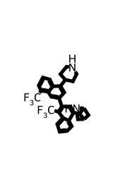 FC(F)(F)c1cccc2c(C3CCNCC3)cc(-c3cc(C4C5CNC4C5)c4ccccc4c3C(F)(F)F)cc12